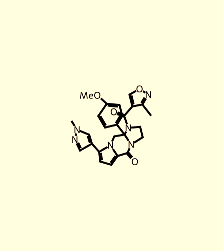 COc1ccc(C23Cn4c(ccc4-c4cnn(C)c4)C(=O)N2CCN3C(=O)c2conc2C)cc1